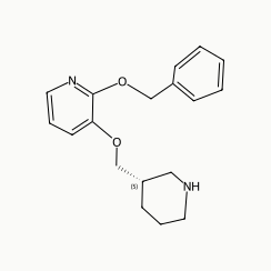 c1ccc(COc2ncccc2OC[C@H]2CCCNC2)cc1